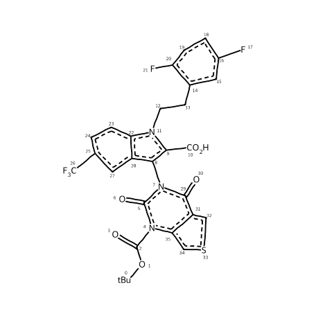 CC(C)(C)OC(=O)n1c(=O)n(-c2c(C(=O)O)n(CCc3cc(F)ccc3F)c3ccc(C(F)(F)F)cc23)c(=O)c2cscc21